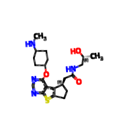 CNC1CCC(Oc2ncnc3sc4c(c23)[C@@H](CC(=O)NC[C@@H](C)O)CC4)CC1